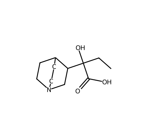 CCC(O)(C(=O)O)C1CN2CCC1CC2